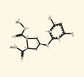 COC(=O)[C@@H]1C[C@H](Oc2nc(Cl)cc(Cl)n2)CN1C(=O)OC(C)(C)C